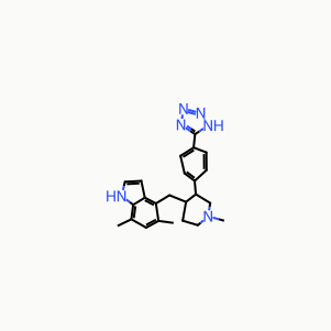 Cc1cc(C)c2[nH]ccc2c1CC1CCN(C)CC1c1ccc(-c2nnn[nH]2)cc1